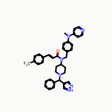 CN(c1ccncc1)c1ccc(CN(C(=O)/C=C/c2ccc(C(F)(F)F)cc2)C2CCN(C(c3ccccc3)c3cn[nH]c3)CC2)cc1